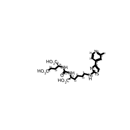 Cc1cc(-c2csc(NCCCC[C@H](NC(=O)N[C@@H](CCC(=O)O)C(=O)O)C(=O)O)n2)ccn1